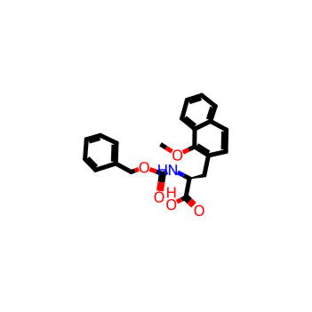 COc1c(C[C@H](NC(=O)OCc2ccccc2)C(=O)O)ccc2ccccc12